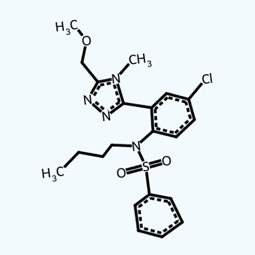 CCCCN(c1ccc(Cl)cc1-c1nnc(COC)n1C)S(=O)(=O)c1ccccc1